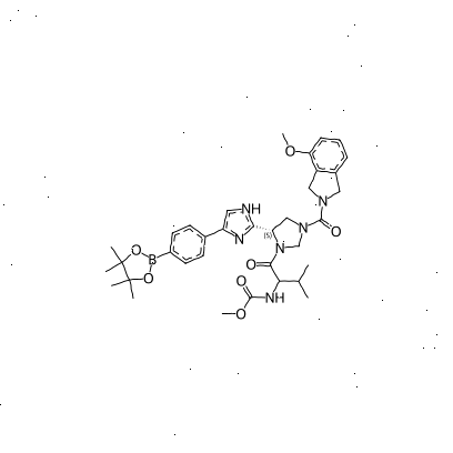 COC(=O)NC(C(=O)N1CN(C(=O)N2Cc3cccc(OC)c3C2)C[C@H]1c1nc(-c2ccc(B3OC(C)(C)C(C)(C)O3)cc2)c[nH]1)C(C)C